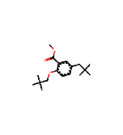 COC(=O)c1cc(CC(C)(C)C)ccc1OCC(C)(C)C